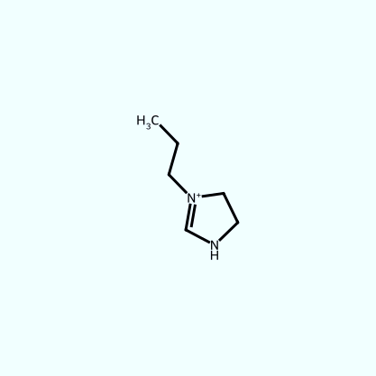 CCC[N+]1=CNCC1